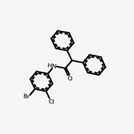 O=C(Nc1ccc(Br)c(Cl)c1)C(c1ccccc1)c1ccccc1